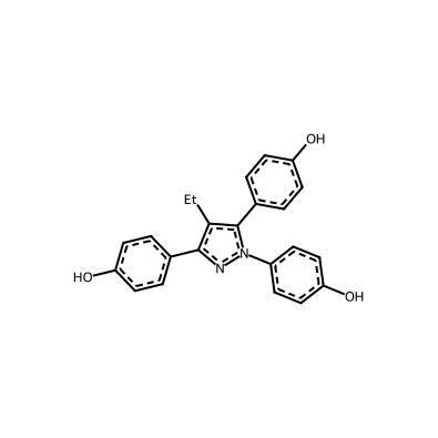 CCc1c(-c2ccc(O)cc2)nn(-c2ccc(O)cc2)c1-c1ccc(O)cc1